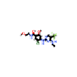 CCNc1nc(Nc2cc(OC)c(C(=O)NCCOC)cc2Cl)ncc1C(F)(F)F